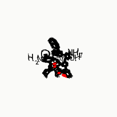 Nc1cc(C23CC4CC(C2)CC(C25CC6CC(CC(C6)C2)C5)(C4)C3)c(Oc2ccc(C34CC5CC(C3)CC(C36CC7CC(CC(c8ccc(Oc9cc(O)c(N)cc9C9%10CC%11CC(C9)CC(C9%12CC%13CC(CC(C%13)C9)C%12)(C%11)C%10)cc8)(C7)C3)C6)(C5)C4)cc2)cc1O